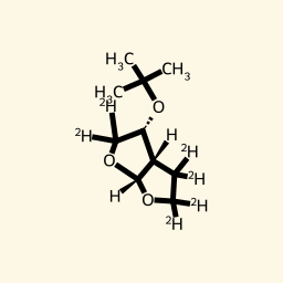 [2H]C1([2H])O[C@H]2OC([2H])([2H])C([2H])([2H])[C@H]2[C@H]1OC(C)(C)C